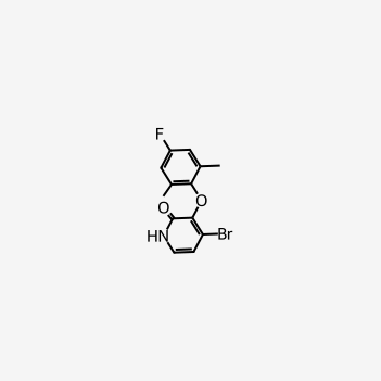 Cc1cc(F)cc(C)c1Oc1c(Br)cc[nH]c1=O